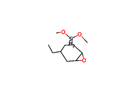 CCC1CCC2OC2C1.CO[SiH2]OC